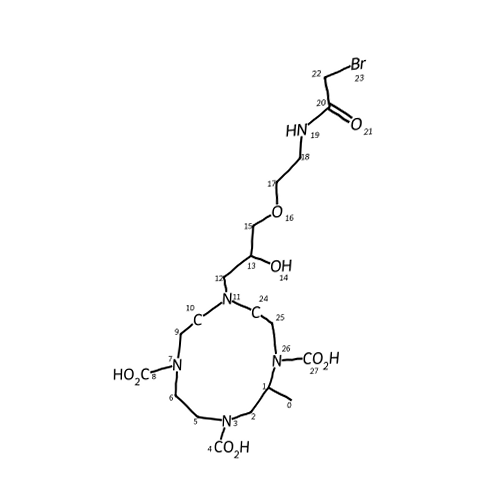 CC1CN(C(=O)O)CCN(C(=O)O)CCN(CC(O)COCCNC(=O)CBr)CCN1C(=O)O